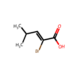 CC(C)C=C(Br)C(=O)O